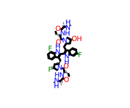 CC[C@H](NC(=O)[C@H](C)NC)C(=O)N1C[C@@H](O)CC1Cc1c(-c2[nH]c3c(F)cccc3c2C[C@@H]2C[C@H](F)CN2C(=O)[C@H](CC)NC(=O)[C@H](C)NC)[nH]c2cc(F)ccc12